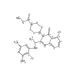 CC(Nc1nc(N)nc(N)c1Cl)c1nc2cccc(Cl)c2c(=O)n1N1CCN(C(=O)OC(C)(C)C)CC1